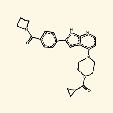 O=C(c1ccc(-c2cc3c(N4CCN(C(=O)C5CC5)CC4)ccnc3[nH]2)cc1)N1CCC1